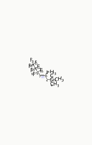 C[Si](C)(C)C/C(I)=C/C(F)(F)C(F)(F)C(F)(F)F